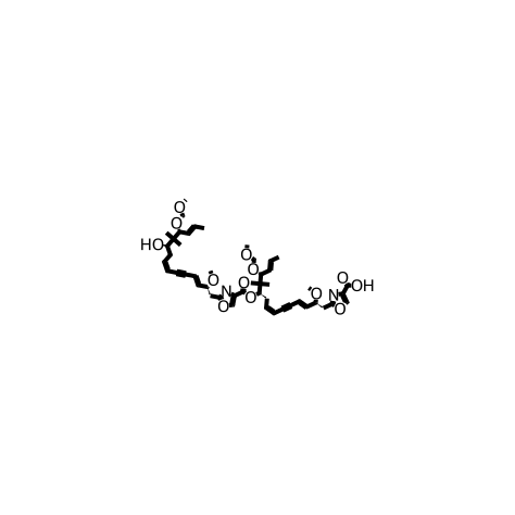 C/C=C/[C@H](OCOC)C(C)(C)[C@H](C/C=C\C#C/C=C/[C@@H](Cc1nc(C(=O)O)co1)OC)OC(=O)c1coc(C[C@H](/C=C/C#C/C=C\C[C@H](O)C(C)(C)[C@H](/C=C/C)OCOC)OC)n1